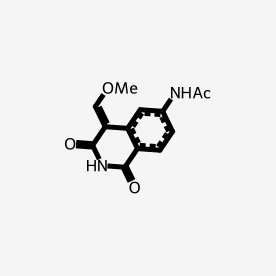 CO/C=C1/C(=O)NC(=O)c2ccc(NC(C)=O)cc21